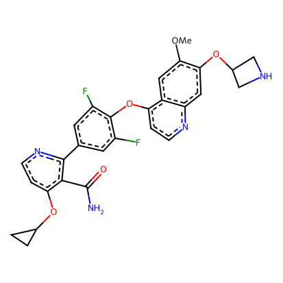 COc1cc2c(Oc3c(F)cc(-c4nccc(OC5CC5)c4C(N)=O)cc3F)ccnc2cc1OC1CNC1